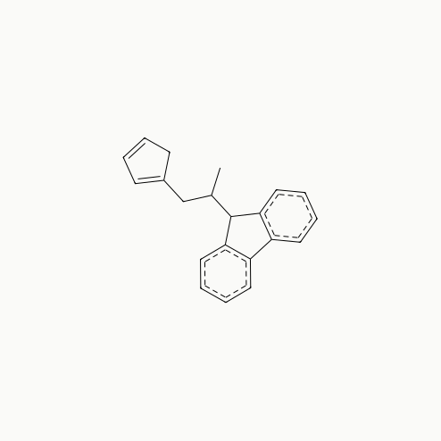 CC(CC1=CC=CC1)C1c2ccccc2-c2ccccc21